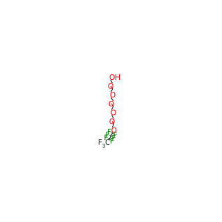 OCCOCCOCCOCCOCCOCCOC(F)(F)C(F)(F)C(F)(F)C(F)(F)F